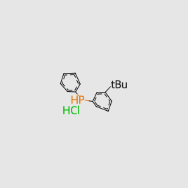 CC(C)(C)c1cccc(Pc2ccccc2)c1.Cl